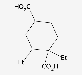 CCC1CC(C(=O)O)CCC1(CC)C(=O)O